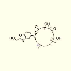 C/C1=C/C[C@@H](c2ccc3oc(CO)nc3c2)OC(=O)C[C@H](O)C(C)(C)C(=O)C[C@H](O)[C@@H](C)CCC1